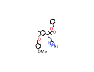 CCn1cc(CC[C@H](c2ccc(C)c(COCc3ccc(OC)cc3)c2)C(C)(C)C(=O)OCc2ccccc2)nn1